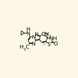 Cc1cc(NC2CC2)n2nc(C)c(/C=C3/SC(=O)NC3=O)c2n1